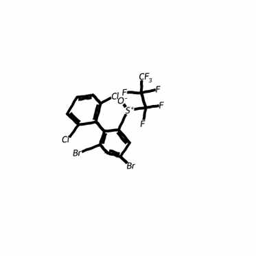 [O-][S+](c1cc(Br)[c]c(Br)c1-c1c(Cl)cccc1Cl)C(F)(F)C(F)(F)C(F)(F)F